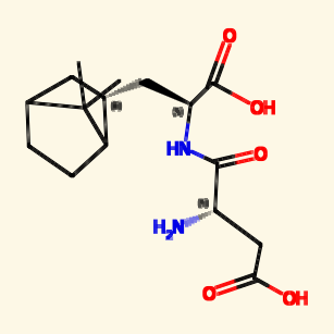 CC1(C)C2CCC1[C@@H](C[C@H](NC(=O)[C@@H](N)CC(=O)O)C(=O)O)C2